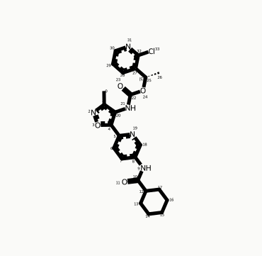 Cc1noc(-c2ccc(NC(=O)C3CCCCC3)cn2)c1NC(=O)O[C@@H](C)c1cccnc1Cl